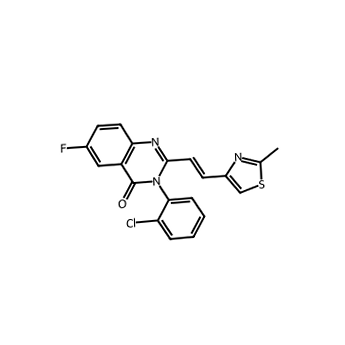 Cc1nc(/C=C/c2nc3ccc(F)cc3c(=O)n2-c2ccccc2Cl)cs1